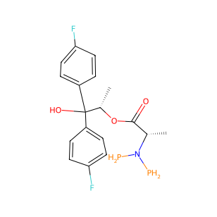 C[C@H](OC(=O)[C@H](C)N(P)P)C(O)(c1ccc(F)cc1)c1ccc(F)cc1